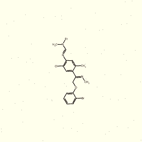 CCN(C)C=Nc1cc(C)c(C(COc2ccccc2Br)=NC)cc1Cl